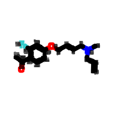 C=CCN(C)CC=CCOc1ccc(C(C)=O)c(F)c1